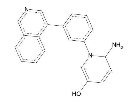 NC1C=CC(O)=CN1c1cccc(-c2cncc3ccccc23)c1